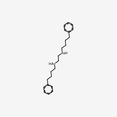 c1ccc(CCCC[AsH]CC[AsH]CCCCc2ccccc2)cc1